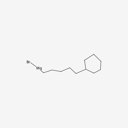 [Br][Mg][CH2]CCCCC1CCCCC1